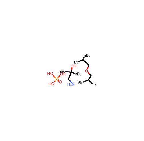 CCCCC(CC)COCC(CC)CCCC.CCCCC(O)(CN)CCCC.O=P(O)(O)O